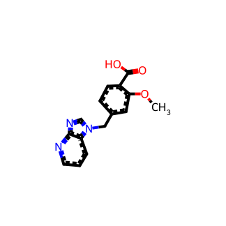 COc1cc(Cn2cnc3ncccc32)ccc1C(=O)O